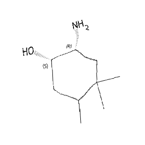 CC1C[C@H](O)[C@H](N)CC1(C)C